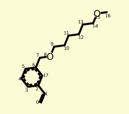 C=Cc1cccc(COCCCCCCOC)c1